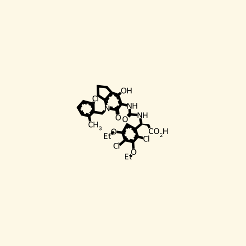 CCOc1cc([C@H](CC(=O)O)NC(=O)Nc2c(O)c3c(n(Cc4c(C)cccc4Cl)c2=O)CCC3)c(Cl)c(OCC)c1Cl